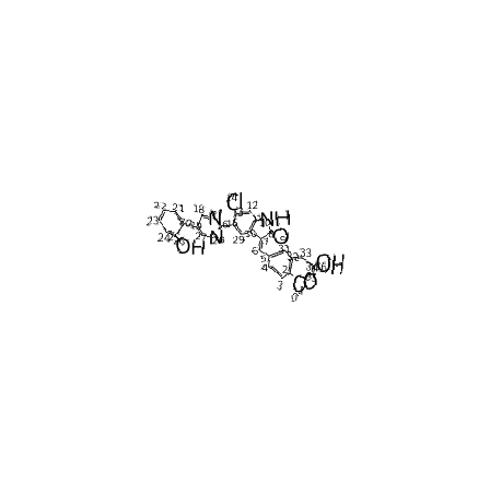 COc1ccc(C=C2C(=O)Nc3cc(Cl)c(-c4ncc(-c5ccccc5O)cn4)cc32)cc1CC(=O)O